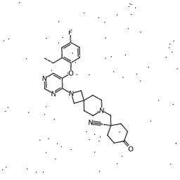 CCc1cc(F)ccc1Oc1cncnc1N1CC2(CCN(CC3(C#N)CCC(=O)CC3)CC2)C1